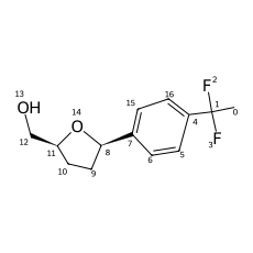 CC(F)(F)c1ccc([C@H]2CC[C@@H](CO)O2)cc1